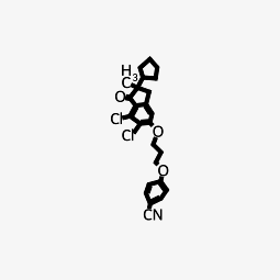 CC1(C2CCCC2)Cc2cc(OCCCOc3ccc(C#N)cc3)c(Cl)c(Cl)c2C1=O